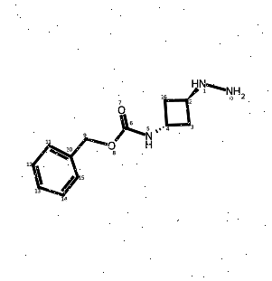 NN[C@H]1C[C@H](NC(=O)OCc2ccccc2)C1